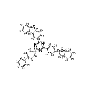 c1ccc(-c2ccc(-c3nc(-c4ccc(-c5cc6ccccc6s5)cc4)nc(-c4ccc5sc6ccccc6c5c4)n3)cc2)cc1